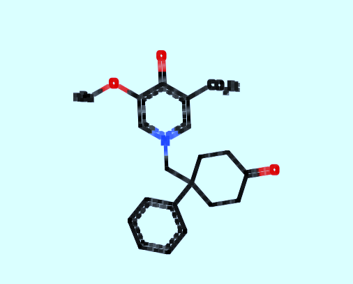 CCCCOc1cn(CC2(c3ccccc3)CCC(=O)CC2)cc(C(=O)OCC)c1=O